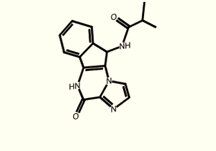 CC(C)C(=O)NC1c2ccccc2-c2[nH]c(=O)c3nccn3c21